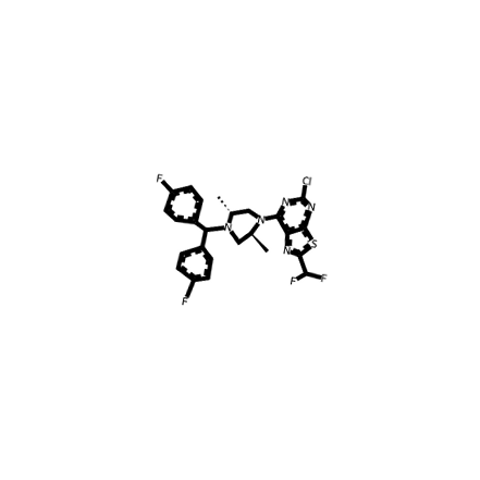 C[C@@H]1CN(c2nc(Cl)nc3sc(C(F)F)nc23)[C@@H](C)CN1C(c1ccc(F)cc1)c1ccc(F)cc1